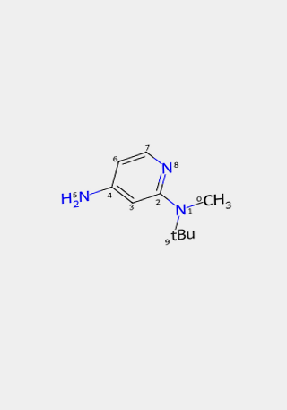 CN(c1cc(N)ccn1)C(C)(C)C